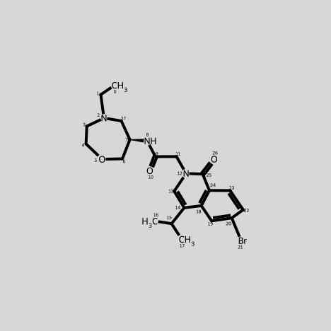 CCN1CCOC[C@H](NC(=O)Cn2cc(C(C)C)c3cc(Br)ccc3c2=O)C1